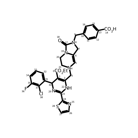 CCOC(=O)C1=C(CN2C=C3CN(Cc4ccc(C(=O)O)cc4)C(=O)N3CC2)NC(c2nccs2)=NC1c1cccc(F)c1Cl